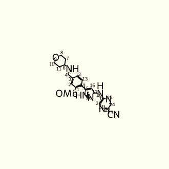 COc1cc(CNC2CCOCC2)ccc1-c1cc(Nc2cnc(C#N)cn2)n[nH]1